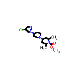 COC(=O)N1C(C)CC(N2CCC(n3cc(Cl)cn3)CC2)CC1C